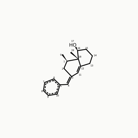 C[C@@H]1C/C(=C\c2ccccc2)C=C2CCC[C@H](O)[C@]21C